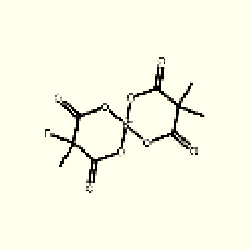 CC1(C)C(=O)O[B-]2(OC1=O)OC(=O)C(C)(F)C(=O)O2